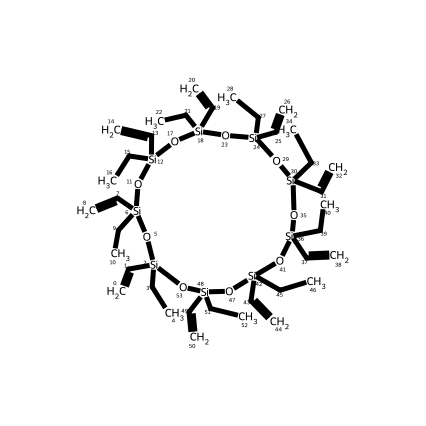 C=C[Si]1(CC)O[Si](C=C)(CC)O[Si](C=C)(CC)O[Si](C=C)(CC)O[Si](C=C)(CC)O[Si](C=C)(CC)O[Si](C=C)(CC)O[Si](C=C)(CC)O[Si](C=C)(CC)O1